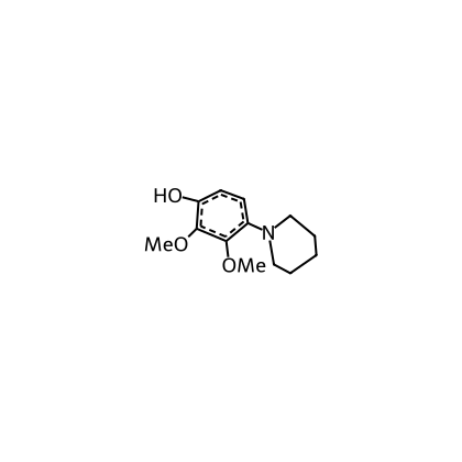 COc1c(O)ccc(N2CCCCC2)c1OC